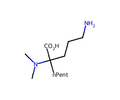 CCCCCC(CCCN)(C(=O)O)N(C)C